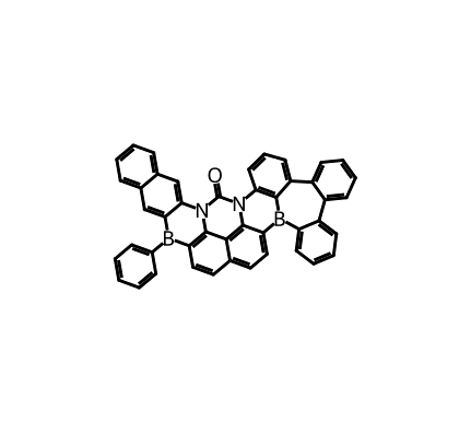 O=C1N2c3cc4ccccc4cc3B(c3ccccc3)c3ccc4ccc5c(c4c32)N1c1cccc2c1B5c1ccccc1-c1ccccc1-2